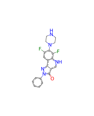 O=c1c2c[nH]c3c(F)c(N4CCNCC4)c(F)cc3c-2nn1-c1ccccc1